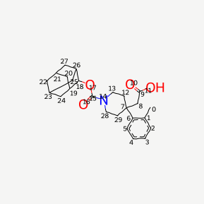 Cc1ccccc1C1(CC(=O)O)CCN(C(=O)OC2C3CC4CC(C3)CC2C4)CC1